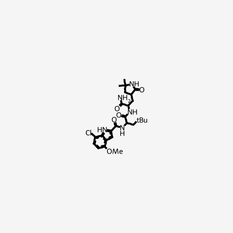 COc1ccc(Cl)c2[nH]c(C(=O)NC(CC(C)(C)C)C(=O)NC(CC3CC(C)(C)NC3=O)C(N)=O)cc12